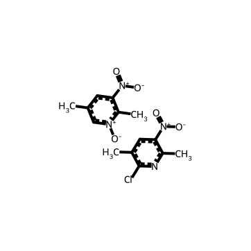 Cc1cc([N+](=O)[O-])c(C)[n+]([O-])c1.Cc1cc([N+](=O)[O-])c(C)nc1Cl